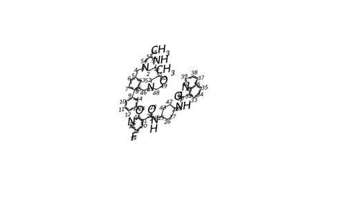 C[C@@H]1CN(Cc2ccc(-c3cccc(Oc4ncc(F)cc4C(=O)NC4CCC(NC(=O)c5cccc6cccnc56)CC4)c3)c(CN3CCOCC3)c2)C[C@H](C)N1